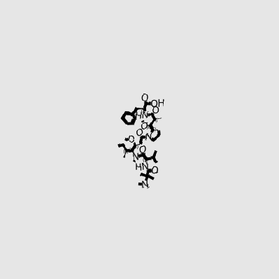 CC[C@H](C)[C@@H]([C@@H](CC(=O)N1CCC[C@H]1[C@H](OC)[C@@H](C)C(=O)N[C@@H](Cc1ccccc1)C(=O)O)OC)N(C)C(=O)[C@@H](NC(=O)C(C)(C)N(C)C)C(C)C